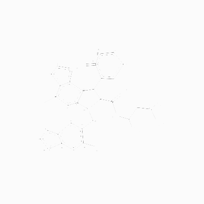 CC(CN(C)C)OC(=O)C1C(c2ccc[nH]c2=O)c2c(cc(F)c3ccoc23)N1Cc1cc2nc[nH]c2cc1Cl